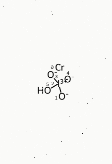 [Cr].[O-][I+3]([O-])([O-])O